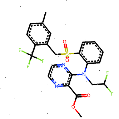 COC(=O)c1nccnc1N(CC(F)F)c1ccccc1S(=O)(=O)Cc1cc(C)ccc1C(F)(F)F